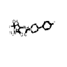 CC(C)(F)CC(NC(=O)N1CCC(c2ccc(F)cc2)CC1)C(N)=O